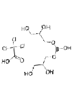 O=C(O)C(Cl)(Cl)Cl.OCC(O)COB(O)OCC(O)CO